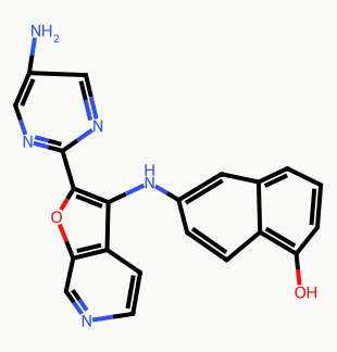 Nc1cnc(-c2oc3cnccc3c2Nc2ccc3c(O)cccc3c2)nc1